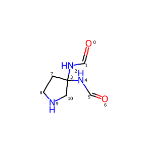 O=CNC1(NC=O)CCNC1